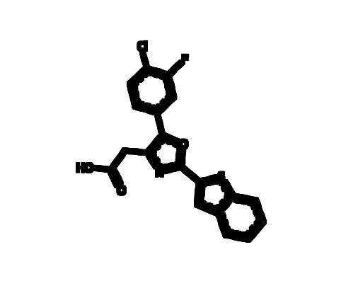 O=C(O)Cc1nc(-c2cc3ccccc3s2)oc1-c1ccc(Cl)c(F)c1